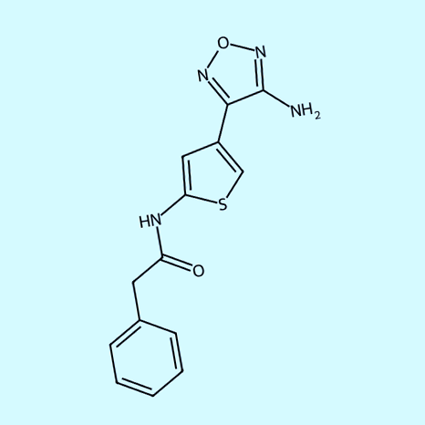 Nc1nonc1-c1csc(NC(=O)Cc2ccccc2)c1